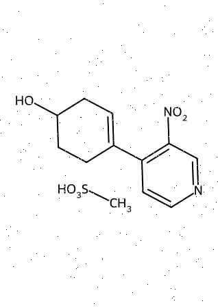 CS(=O)(=O)O.O=[N+]([O-])c1cnccc1C1=CCC(O)CC1